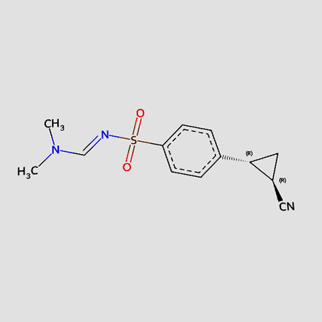 CN(C)C=NS(=O)(=O)c1ccc([C@@H]2C[C@H]2C#N)cc1